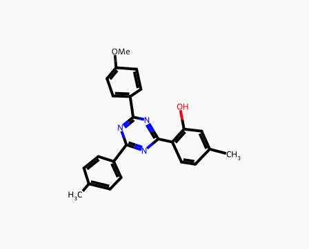 COc1ccc(-c2nc(-c3ccc(C)cc3)nc(-c3ccc(C)cc3O)n2)cc1